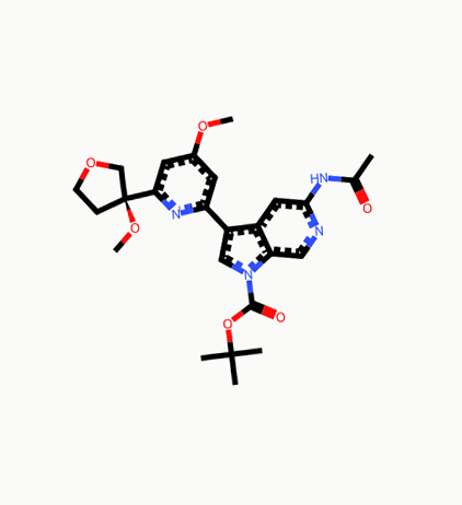 COc1cc(-c2cn(C(=O)OC(C)(C)C)c3cnc(NC(C)=O)cc23)nc([C@]2(OC)CCOC2)c1